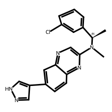 C[C@H](c1cccc(Cl)c1)N(C)c1cnc2cc(-c3cn[nH]c3)ccc2n1